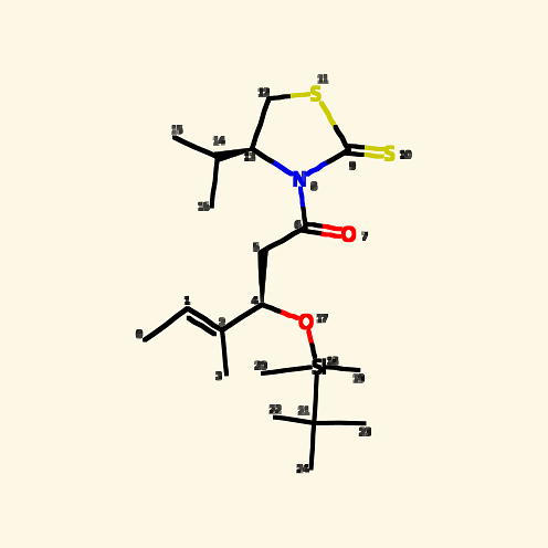 CC=C(C)[C@@H](CC(=O)N1C(=S)SC[C@@H]1C(C)C)O[Si](C)(C)C(C)(C)C